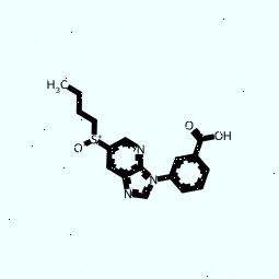 CCCC[S+]([O-])c1cnc2c(c1)ncn2-c1cccc(C(=O)O)c1